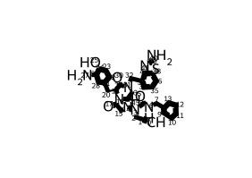 C#CCN(C(=O)NCc1ccccc1)N1CC(=O)N2[C@@H](Cc3ccc(O)c(N)c3)C(=O)N(Cc3cccc4sc(N)nc34)C[C@@H]21